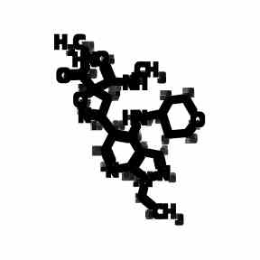 CCn1ncc2c(NC3CCOCC3)c(C3=NOC(C(=O)NC)(C(=O)NC)C3)cnc21